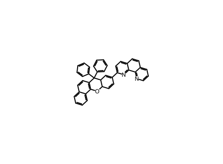 C1=CC2Oc3c(ccc4ccccc34)C(c3ccccc3)(c3ccccc3)C2C=C1c1ccc2ccc3cccnc3c2n1